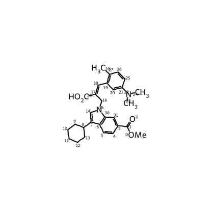 COC(=O)c1ccc2c(C3CCCCC3)cn(C/C(=C\c3cc(N(C)C)ccc3C)C(=O)O)c2c1